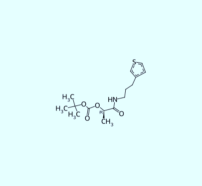 C[C@@H](OC(=O)OC(C)(C)C)C(=O)NCCCc1ccsc1